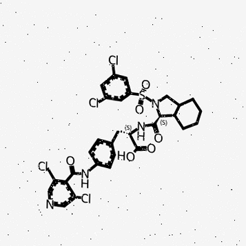 O=C(Nc1ccc(C[C@H](NC(=O)[C@@H]2C3CCCCC3CN2S(=O)(=O)c2cc(Cl)cc(Cl)c2)C(=O)O)cc1)c1c(Cl)cncc1Cl